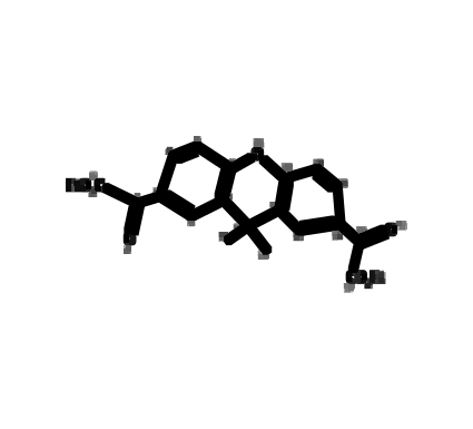 CCOC(=O)C(=O)c1ccc2c(c1)C(C)(C)c1cc(C(=O)C(=O)OCC)ccc1O2